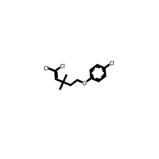 CC(C)(C=C(Cl)Cl)CCOc1ccc(Cl)cc1